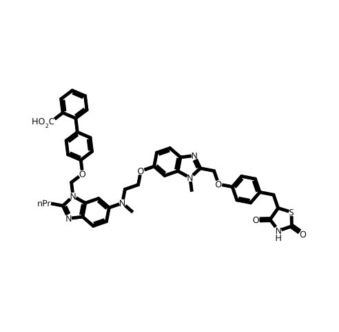 CCCc1nc2ccc(N(C)CCOc3ccc4nc(COc5ccc(CC6SC(=O)NC6=O)cc5)n(C)c4c3)cc2n1COc1ccc(-c2ccccc2C(=O)O)cc1